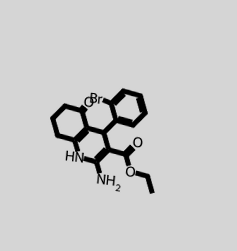 CCOC(=O)C1=C(N)NC2=C(C(=O)CCC2)C1c1ccccc1Br